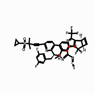 Cn1nc(N=C=S)c2c(Cl)ccc(-c3ccc(C#CC(C)(C)S(=O)(=O)C4CC4)nc3[C@H](Cc3cc(F)cc(F)c3)NC(=O)Cn3nc(C(F)(F)F)c4c3C(F)(F)[C@@H]3C=C[C@H]43)c21